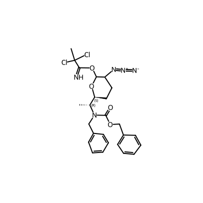 C[C@H]([C@@H]1CCC(N=[N+]=[N-])C(OC(=N)C(C)(Cl)Cl)O1)N(Cc1ccccc1)C(=O)OCc1ccccc1